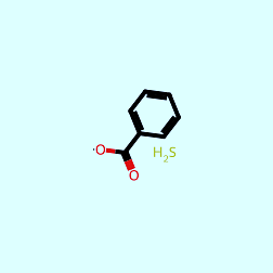 S.[O]C(=O)c1ccccc1